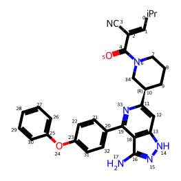 CC(C)C=C(C#N)C(=O)N1CCC[C@@H](c2cc3[nH]nc(N)c3c(-c3ccc(Oc4ccccc4)cc3)n2)C1